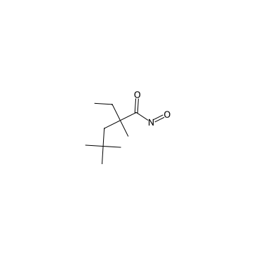 CCC(C)(CC(C)(C)C)C(=O)N=O